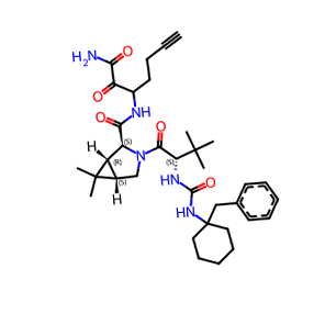 C#CCCC(NC(=O)[C@@H]1[C@@H]2[C@H](CN1C(=O)[C@@H](NC(=O)NC1(Cc3ccccc3)CCCCC1)C(C)(C)C)C2(C)C)C(=O)C(N)=O